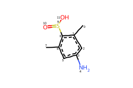 Cc1cc(N)cc(C)c1S(=O)O